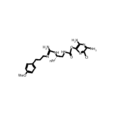 CCC[C@@H](CNC(=O)Oc1nc(Cl)c(N)nc1N)NC(N)=NCCCc1ccc(OC)cc1